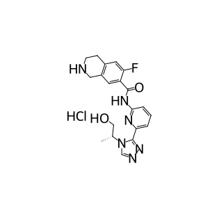 C[C@H](CO)n1cnnc1-c1cccc(NC(=O)c2cc3c(cc2F)CCNC3)n1.Cl